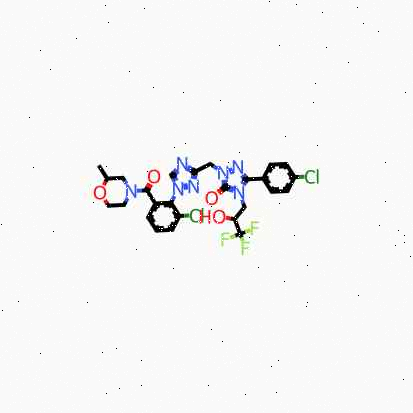 CC1CN(C(=O)c2cccc(Cl)c2-n2cnc(Cn3nc(-c4ccc(Cl)cc4)n(CC(O)C(F)(F)F)c3=O)n2)CCO1